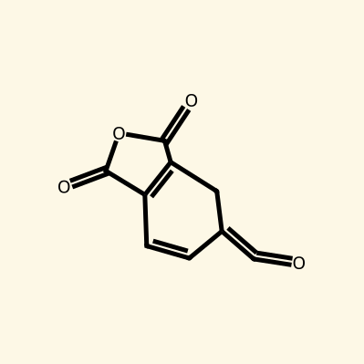 O=C=C1C=CC2=C(C1)C(=O)OC2=O